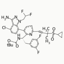 CC(C)(C)OC(=O)N[C@@H](Cc1cc(F)cc(F)c1)c1nc(C#CC(C)(C)S(=O)(=O)C2CC2)ccc1-c1ccc(Cl)c2c(N)nn(CC(F)F)c12